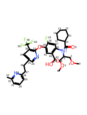 COCC(COC)N(C(=O)C1CCCCC1)c1cc(F)c(Oc2ncc(CCc3cccc(C)n3)cc2C(F)(F)F)cc1C(=O)O